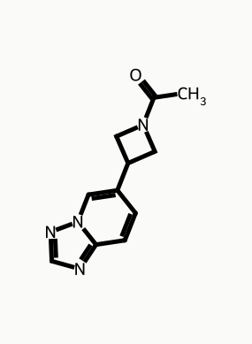 CC(=O)N1CC(c2ccc3ncnn3c2)C1